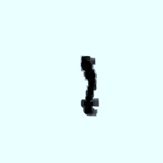 CC(C)OCC(=O)NCCOCCOCCN1CCN(c2ccc(C(C)(C)C)cc2)CC1